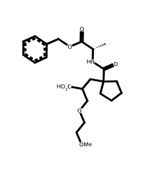 COCCOCC(CC1(C(=O)N[C@@H](C)C(=O)OCc2ccccc2)CCCC1)C(=O)O